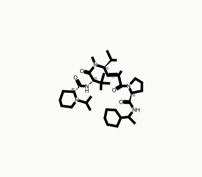 C/C(=C\[C@H](C(C)C)N(C)C(=O)[C@@H](NC(=O)[C@H]1CCCCN1C(C)C)C(C)(C)C)C(=O)N1CCC[C@H]1C(=O)NC(C)C1CCCCC1